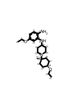 CCOc1ccc(N)c(NC2CCN([C@]3(C)CC[C@@H](OCC)CC3)CC2)c1